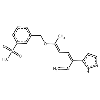 C=N/C(=C\C=C(/C)OCc1cccc(S(C)(=O)=O)c1)c1ccn[nH]1